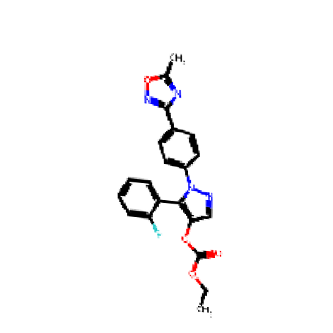 CCOC(=O)Oc1cnn(-c2ccc(-c3noc(C)n3)cc2)c1-c1ccccc1F